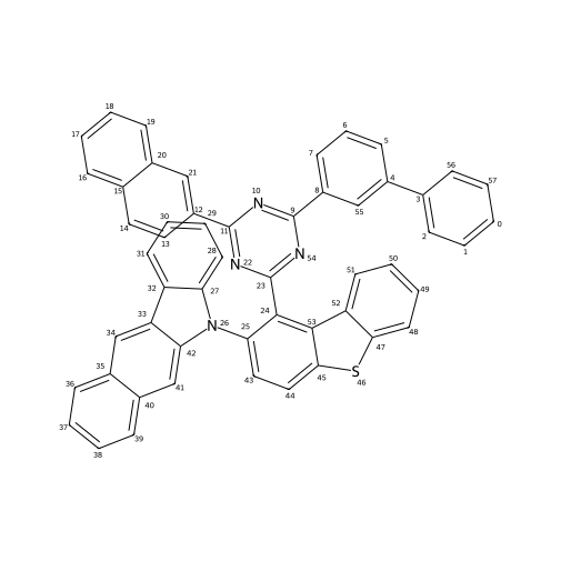 c1ccc(-c2cccc(-c3nc(-c4ccc5ccccc5c4)nc(-c4c(-n5c6ccccc6c6cc7ccccc7cc65)ccc5sc6ccccc6c45)n3)c2)cc1